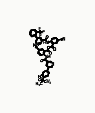 CC(C)(C)c1ccc(-c2cncc(C(=O)Nc3ccc(C#N)cc3C(=O)OC(=O)c3cc(C#N)ccc3NC(=O)c3cncc(-c4ccccc4C(F)(F)F)c3)c2)cc1